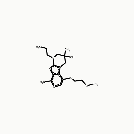 CCCN1CC(C)(O)Cn2c1nc1c(N)ncc(OCCOC)c12